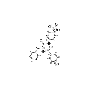 O=C(N[C@@H](Cc1ccccc1)C(=O)Nc1ccc(S(=O)(=O)Cl)cn1)c1ccc(F)cc1